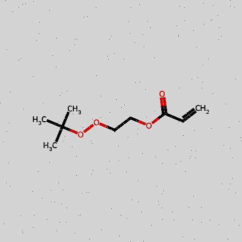 C=CC(=O)OC[CH]OOC(C)(C)C